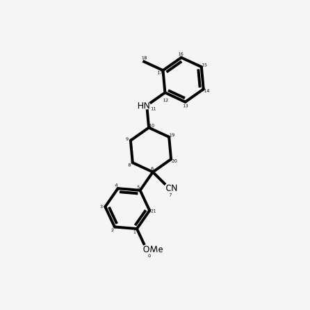 COc1cccc(C2(C#N)CCC(Nc3ccccc3C)CC2)c1